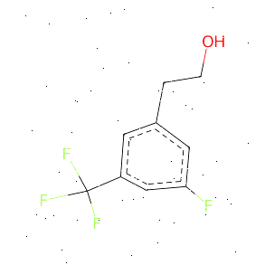 OCCc1cc(F)cc(C(F)(F)F)c1